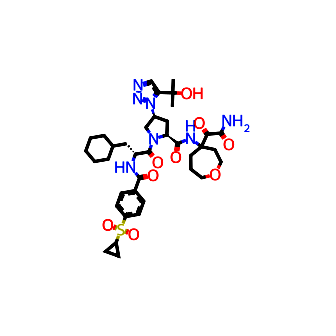 CC(C)(O)c1cnnn1[C@H]1C[C@@H](C(=O)NC2(C(=O)C(N)=O)CCCOCC2)N(C(=O)[C@@H](CC2CCCCC2)NC(=O)c2ccc(S(=O)(=O)C3CC3)cc2)C1